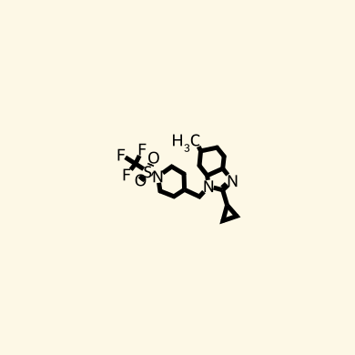 CC1CCC2N=C(C3CC3)N(CC3CCN(S(=O)(=O)C(F)(F)F)CC3)C2C1